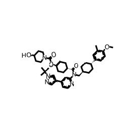 COc1ccc([C@H]2CC[C@H](CN(c3cc(-c4cnn(C(C)(C)C)c4)ccn3)C(=O)[C@H]3CC[C@H](OC(=O)N4CCC(O)CC4)CC3)CC2)cc1C